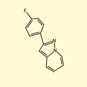 Fc1ccc(-c2cc3c[c]ccn3n2)cc1